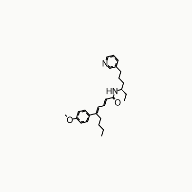 CCCC/C(=C\C=C\C(=O)N[C@H](CC)CCCc1cccnc1)c1ccc(OC)cc1